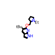 CCN1CCCC1COc1nc2[nH]ccc2cc1C(C)(C)C